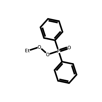 CCOOP(=O)(c1ccccc1)c1ccccc1